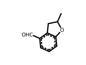 CC1Cc2c(C=O)cccc2O1